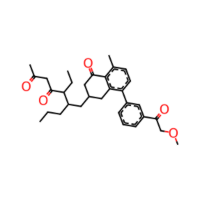 CCCC(CC1CC(=O)c2c(C)ccc(-c3cccc(C(=O)COC)c3)c2C1)C(CC)C(=O)CC(C)=O